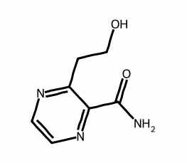 NC(=O)c1nccnc1CCO